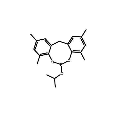 Cc1cc(C)c2c(c1)Cc1cc(C)cc(C)c1OP(OC(C)C)O2